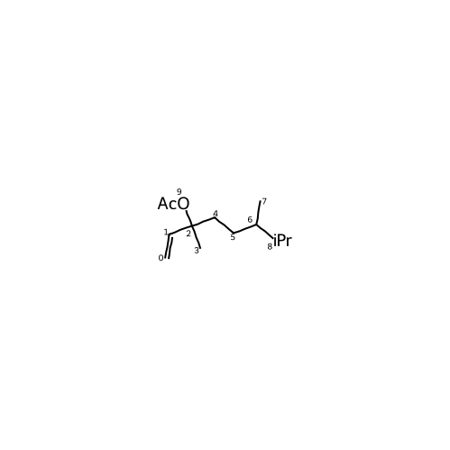 C=CC(C)(CCC(C)C(C)C)OC(C)=O